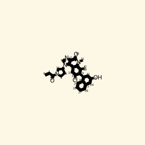 C=CC(=O)N1CCC(n2cnc3c(=O)n(C)c4c(F)c(-c5cc(O)cc6ccccc56)c(Cl)cc4c32)C1